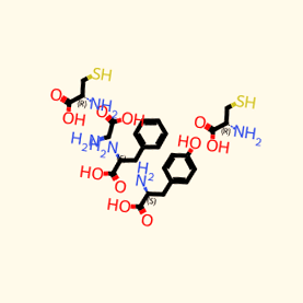 NCC(=O)O.N[C@@H](CS)C(=O)O.N[C@@H](CS)C(=O)O.N[C@@H](Cc1ccc(O)cc1)C(=O)O.N[C@@H](Cc1ccccc1)C(=O)O